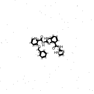 O=C(Nc1nc2c(C(=O)Nc3ncc[nH]3)cccc2[nH]1)c1ncccc1OCc1ccccc1